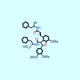 COc1ccc(C2Oc3c(OC)ccc(/C=C/C(=O)NC(Cc4ccccc4)C(C)C)c3C2C(=O)NC(Cc2ccccc2)C(=O)O)cc1OC